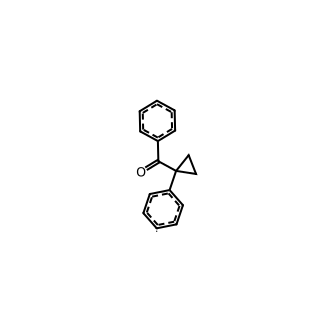 O=C(c1ccccc1)C1(c2cc[c]cc2)CC1